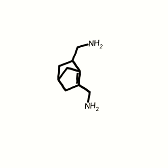 NCC1=C2CC(C1)CC2CN